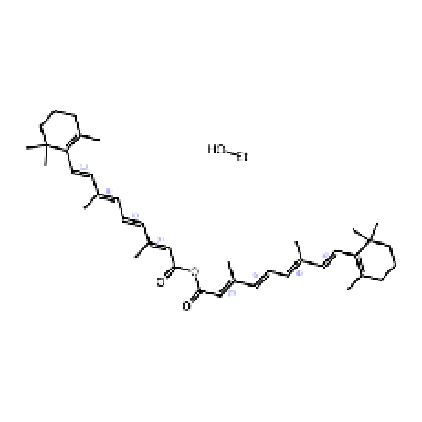 CC1=C(/C=C/C(C)=C/C=C/C(C)=C/C(=O)OC(=O)/C=C(C)/C=C/C=C(C)/C=C/C2=C(C)CCCC2(C)C)C(C)(C)CCC1.CCO